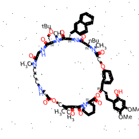 CCCC[C@H]1C(=O)N[C@@H](Cc2ccc3ccccc3c2)C(=O)N(C)[C@@H](COC(C)(C)C)C(=O)NCC(=O)N(C)CCCNCC(=O)OCC(C)(C)C(=O)C(=O)N2CCCC[C@H]2C(=O)O[C@H](CCc2cc(OC)c(OC)cc2O)c2cccc(c2)OCC(=O)N1C